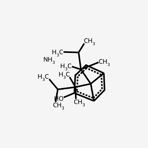 CC(C)C(C)(C)C1(C(C)(C)C(C)C)c2ccc(O)c1c2.N